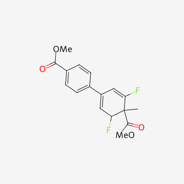 COC(=O)c1ccc(C2=CC(F)C(C)(C(=O)OC)C(F)=C2)cc1